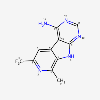 Cc1nc(C(F)(F)F)cc2c1[nH]c1ncnc(N)c12